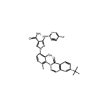 Cc1ccc(-n2cc(C(N)=O)c(Nc3ccc(F)cn3)n2)c(O)c1-n1ncc2cc(C(C)(C)C)ccc2c1=O